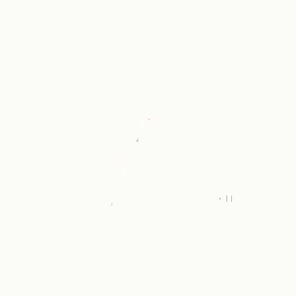 CCCO[Si](OCC)(C1CCCCC1)C1CCC(C)CC1